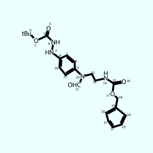 CC(C)(C)OC(=O)NNc1ccc(N(C=O)CCNC(=O)OCc2ccccc2)cc1